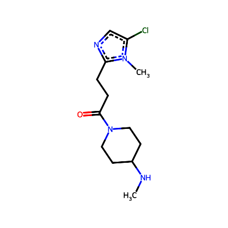 CNC1CCN(C(=O)CCc2ncc(Cl)n2C)CC1